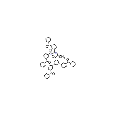 C=C(/C=C(\C=C(/C)c1cccc(C(=O)c2ccccc2)c1)c1cccc(C(=O)c2ccccc2)c1)C(=O)c1cc(-c2cccc(C(=O)c3ccccc3)c2)cc(-c2cccc(C(=O)c3ccccc3)c2)c1